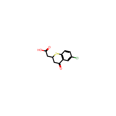 O=C(O)CC1CC(=O)c2cc(Cl)ccc2S1